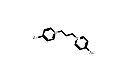 CC(=O)c1cc[n+](CCC[n+]2ccc(C(C)=O)cc2)cc1